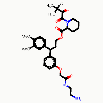 CCC(C)(C)C(=O)C(=O)N1CCCCC1C(=O)OCCC(c1cccc(OCC(=O)NCCN)c1)c1ccc(OC)c(OC)c1